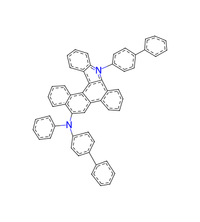 c1ccc(-c2ccc(N(c3ccccc3)c3cc4c5ccccc5c5c(c6ccccc6n5-c5ccc(-c6ccccc6)cc5)c4c4ccccc34)cc2)cc1